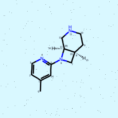 Cc1ccnc(N2C[C@@H]3CCNC[C@@H]32)c1